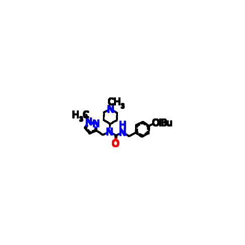 CC(C)COc1ccc(CNC(=O)N(Cc2ccn(C)n2)C2CCN(C)CC2)cc1